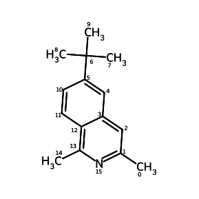 Cc1cc2cc(C(C)(C)C)ccc2c(C)n1